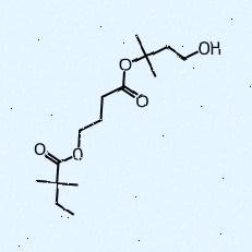 CCC(C)(C)C(=O)OCCCC(=O)OC(C)(C)CCO